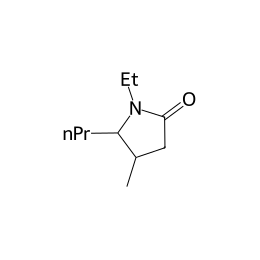 CCCC1C(C)CC(=O)N1CC